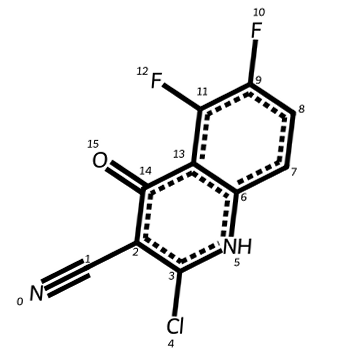 N#Cc1c(Cl)[nH]c2ccc(F)c(F)c2c1=O